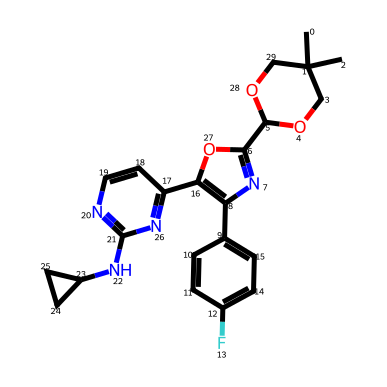 CC1(C)COC(c2nc(-c3ccc(F)cc3)c(-c3ccnc(NC4CC4)n3)o2)OC1